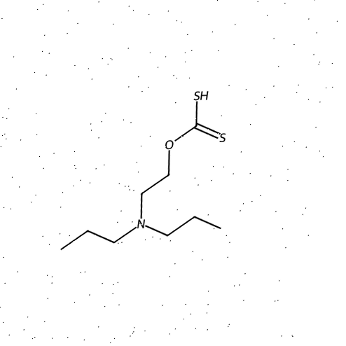 CCCN(CCC)CCOC(=S)S